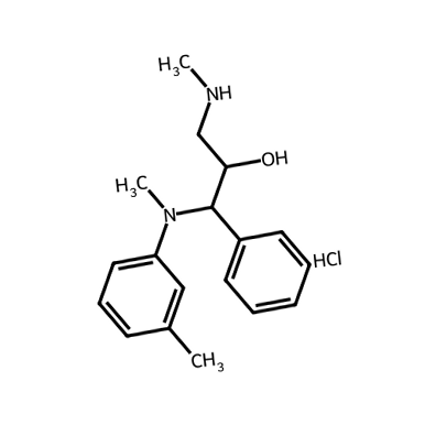 CNCC(O)C(c1ccccc1)N(C)c1cccc(C)c1.Cl